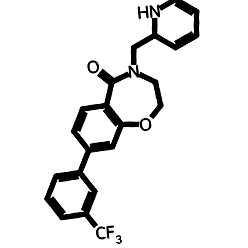 O=C1c2ccc(-c3cccc(C(F)(F)F)c3)cc2OCCN1CC1C=CC=CN1